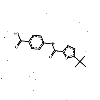 CC(C)(C)c1ccc(C(=O)Nc2ccc(C(=O)O)cc2)o1